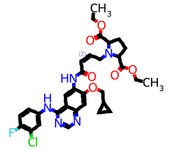 CCOC(=O)C1CCC(C(=O)OCC)N1C/C=C\C(=O)Nc1cc2c(Nc3ccc(F)c(Cl)c3)ncnc2cc1OCC1CC1